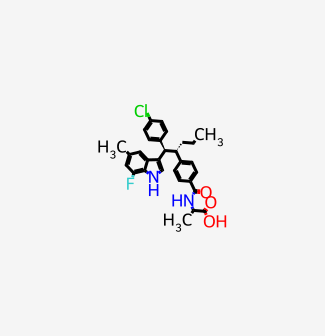 CCC[C@H](c1ccc(C(=O)NC(C)C(=O)O)cc1)[C@H](c1ccc(Cl)cc1)c1c[nH]c2c(F)cc(C)cc12